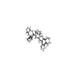 c1ccc2c(c1)C/C(=C1/Cc3cc4c5ccccc5c5ccccc5c4cc3-c3cccc[n+]31)[n+]1ccccc1-2